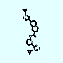 O=C(Nc1cccc(-c2nncn2C2CC2)n1)c1cnc2ccc(-c3cnn(C4CC4)c3)cc2c1